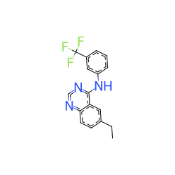 CCc1ccc2ncnc(Nc3cccc(C(F)(F)F)c3)c2c1